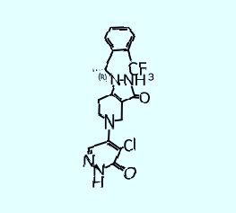 C[C@H](c1ccccc1C(F)(F)F)n1[nH]c(=O)c2c1CCN(c1cn[nH]c(=O)c1Cl)C2